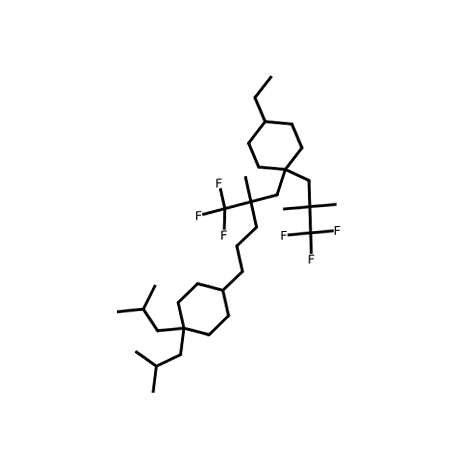 CCC1CCC(CC(C)(C)C(F)(F)F)(CC(C)(CCCC2CCC(CC(C)C)(CC(C)C)CC2)C(F)(F)F)CC1